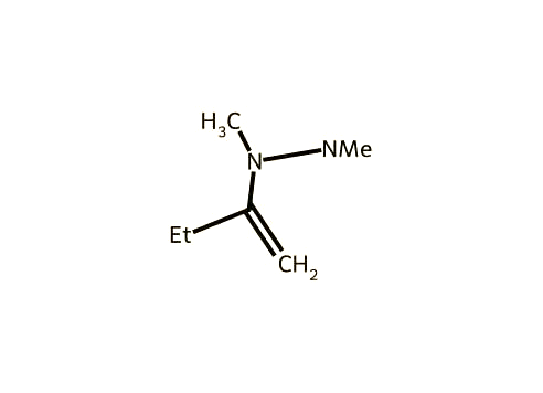 C=C(CC)N(C)NC